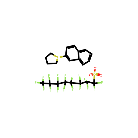 O=S(=O)([O-])C(F)(F)C(F)(F)C(F)(F)C(F)(F)C(F)(F)C(F)(F)C(F)(F)C(F)(F)F.c1ccc2cc([S+]3CCCC3)ccc2c1